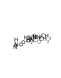 C=C(CC)NC(C(=C)N1CCC[C@H]1c1nc2ccc(-c3ccc4cc(-c5cnc[nH]5)ccc4c3)cc2[nH]1)C1CCCCC1